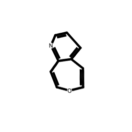 C1=Cc2cccnc2C=CO1